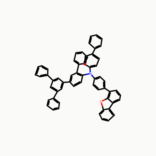 c1ccc(-c2ccc(N(c3ccc(-c4cccc5c4oc4ccccc45)cc3)c3ccc(-c4cc(-c5ccccc5)cc(-c5ccccc5)c4)cc3-c3ccccc3)cc2)cc1